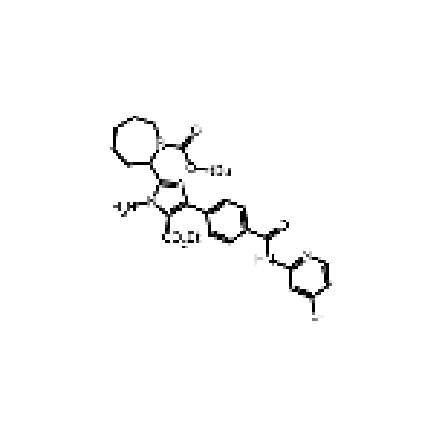 CCOC(=O)c1c(-c2ccc(C(=O)Nc3cc(CC)ccn3)cc2)nc(C2CCCCCN2C(=O)OC(C)(C)C)n1N